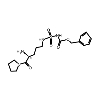 N[C@@H](CCCNS(=O)(=O)NC(=O)OCc1ccccc1)C(=O)N1CCCC1